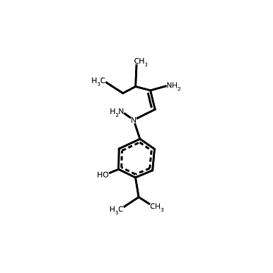 CCC(C)/C(N)=C\N(N)c1ccc(C(C)C)c(O)c1